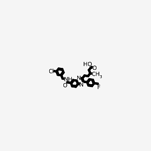 CC(CCc1nc2cc(C(=O)NCc3cccc(Cl)c3)ccc2nc1-c1ccc(CF)cc1)CC(=O)O